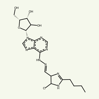 CCCCC1=NC(/C=N/Nc2ncnc3c2ncn3[C@@H]2O[C@H](CO)[C@H](O)C2O)C(Cl)N1